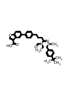 CCN(C=O)/C(CCCc1ccc(-c2ccc3occ(C(=O)O)c3c2)cc1)=N\N(C)Cc1ccc(C(C)(C)C)cc1